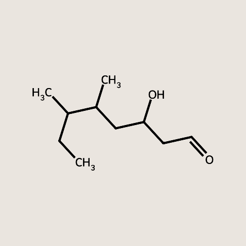 CCC(C)C(C)CC(O)CC=O